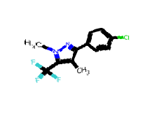 Cc1c(-c2ccc(Cl)cc2)nn(C)c1C(F)(F)F